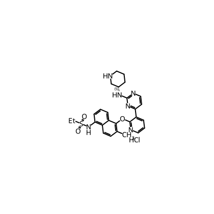 CCS(=O)(=O)Nc1cccc2c(Oc3ncccc3-c3ccnc(N[C@H]4CCCNC4)n3)c(C)ccc12.Cl